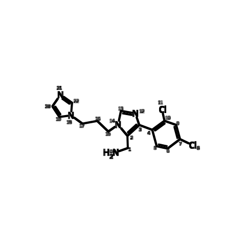 NCc1c(-c2ccc(Cl)cc2Cl)ncn1CCCn1ccnc1